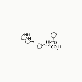 O=C(N[C@@H](CCN1CC[C@H](CCc2ccc3c(n2)NCCC3)C1)C(=O)O)c1ccccc1